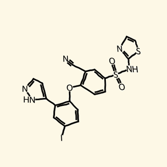 N#Cc1cc(S(=O)(=O)Nc2nccs2)ccc1Oc1ccc(I)cc1-c1ccn[nH]1